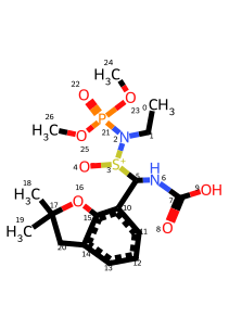 CCN([S+]([O-])C(NC(=O)O)c1cccc2c1OC(C)(C)C2)P(=O)(OC)OC